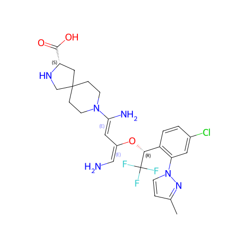 Cc1ccn(-c2cc(Cl)ccc2[C@@H](OC(=C/N)/C=C(\N)N2CCC3(CC2)CN[C@H](C(=O)O)C3)C(F)(F)F)n1